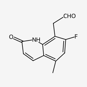 Cc1cc(F)c(CC=O)c2[nH]c(=O)ccc12